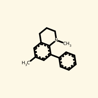 Cc1cc2c(c(-c3ccccc3)c1)N(C)CCC2